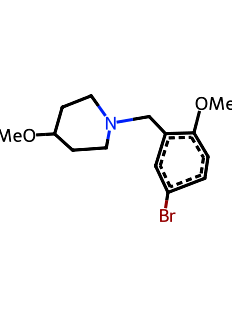 COc1ccc(Br)cc1CN1CCC(OC)CC1